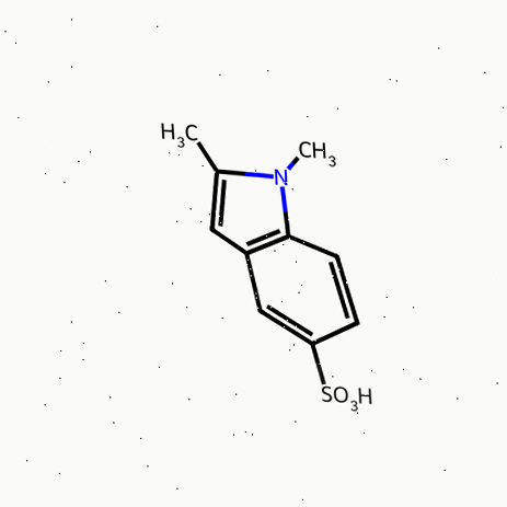 Cc1cc2cc(S(=O)(=O)O)ccc2n1C